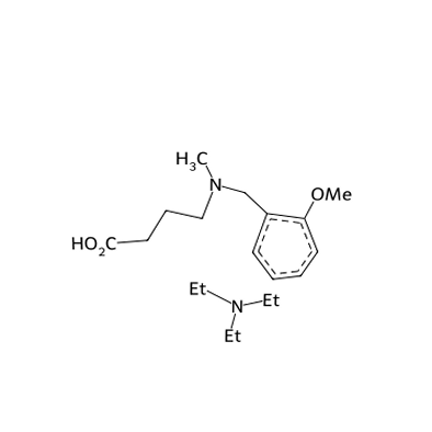 CCN(CC)CC.COc1ccccc1CN(C)CCCC(=O)O